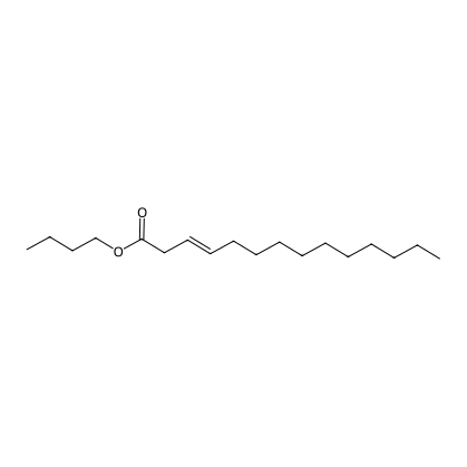 CCCCCCCCCC/C=C/CC(=O)OCCCC